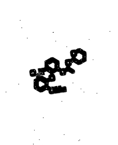 COc1ccccc1Oc1c(OC(C)OC2CCCCO2)cccc1[N+](=O)[O-]